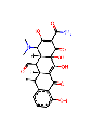 C=C1c2cccc(O)c2C(=O)C2=C(O)[C@@]3(O)C(=O)C(C(N)=O)=C(O)[C@H](N(C)C)[C@H]3[C@H](C=O)[C@@H]12